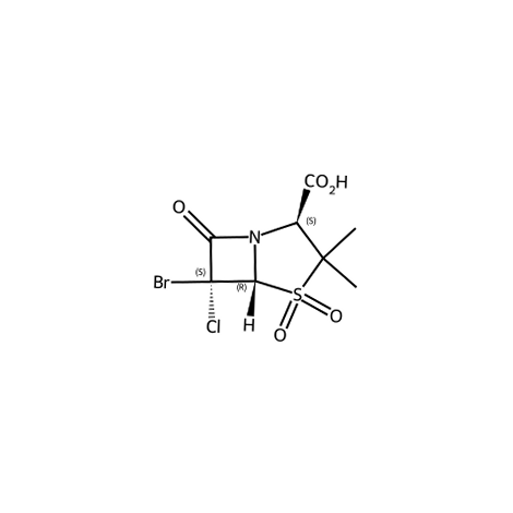 CC1(C)[C@H](C(=O)O)N2C(=O)[C@](Cl)(Br)[C@H]2S1(=O)=O